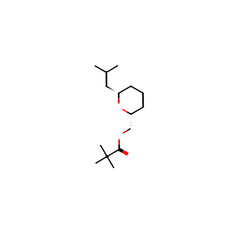 CC(C)C[C@H]1CCC[C@H](COC(=O)C(C)(C)C)O1